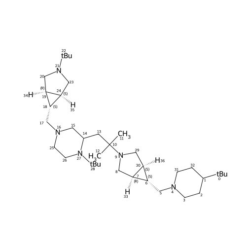 CC(C)(C)C1CCN(C[C@@H]2[C@H]3CN(C(C)(C)CC4CN(C[C@@H]5[C@H]6CN(C(C)(C)C)C[C@@H]56)CCN4C(C)(C)C)C[C@@H]23)CC1